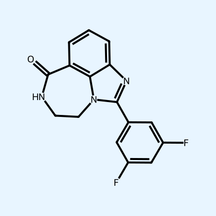 O=C1NCCn2c(-c3cc(F)cc(F)c3)nc3cccc1c32